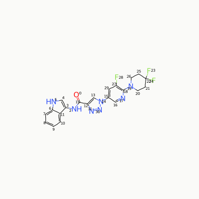 O=C(Nc1c[nH]c2ccccc12)c1cn(-c2cnc(N3CCC(F)(F)CC3)c(F)c2)nn1